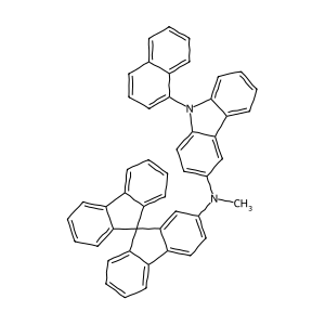 CN(c1ccc2c(c1)C1(c3ccccc3-c3ccccc31)c1ccccc1-2)c1ccc2c(c1)c1ccccc1n2-c1cccc2ccccc12